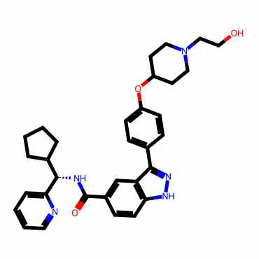 O=C(N[C@H](c1ccccn1)C1CCCC1)c1ccc2[nH]nc(-c3ccc(OC4CCN(CCO)CC4)cc3)c2c1